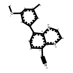 COc1cc(C)cc(-c2ccc(C#N)c3nccnc23)c1